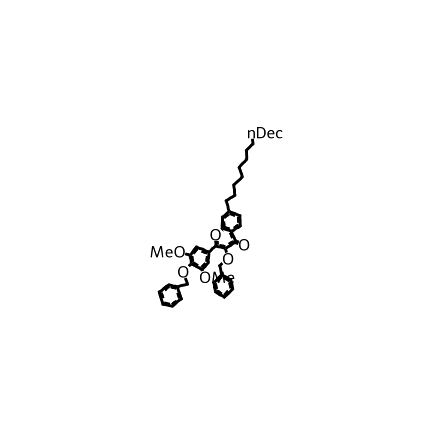 CCCCCCCCCCCCCCCCCCc1ccc2c(=O)c(OCc3ccccc3)c(-c3cc(OC)c(OCc4ccccc4)c(OC)c3)oc2c1